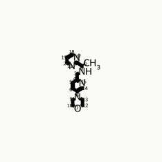 C[C@@H](NCc1ccc(N2CCOCC2)cn1)c1ncccn1